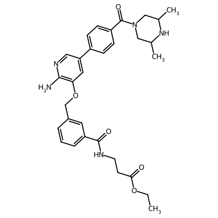 CCOC(=O)CCNC(=O)c1cccc(COc2cc(-c3ccc(C(=O)N4CC(C)NC(C)C4)cc3)cnc2N)c1